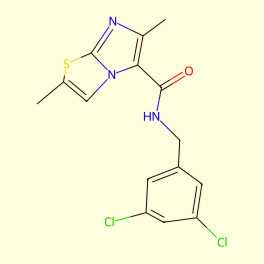 Cc1cn2c(C(=O)NCc3cc(Cl)cc(Cl)c3)c(C)nc2s1